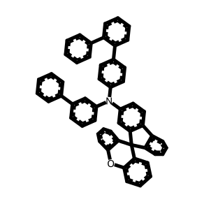 c1ccc(-c2cccc(N(c3ccc(-c4ccccc4-c4ccccc4)cc3)c3ccc4c(c3)C3(c5ccccc5Oc5ccccc53)c3ccccc3-4)c2)cc1